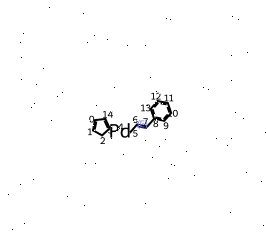 C1=CC[C]([Pd][CH2]/C=C/c2ccccc2)=C1